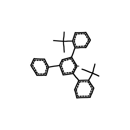 CC(C)(C)c1ccccc1-c1[c]c(-c2ccccc2C(C)(C)C)cc(-c2ccccc2)c1